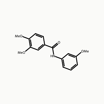 COc1cccc(NC(=O)c2ccc(OC)c(OC)c2)c1